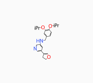 CC(C)Oc1ccc(CNc2cncc(C3=COCC3)c2)cc1OC(C)C